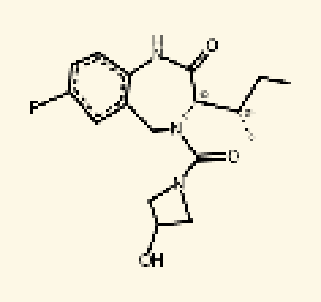 CC[C@H](C)[C@H]1C(=O)Nc2ccc(F)cc2CN1C(=O)N1CC(O)C1